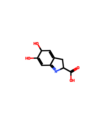 O=C(O)C1CC2=CC(O)C(O)=CC2=N1